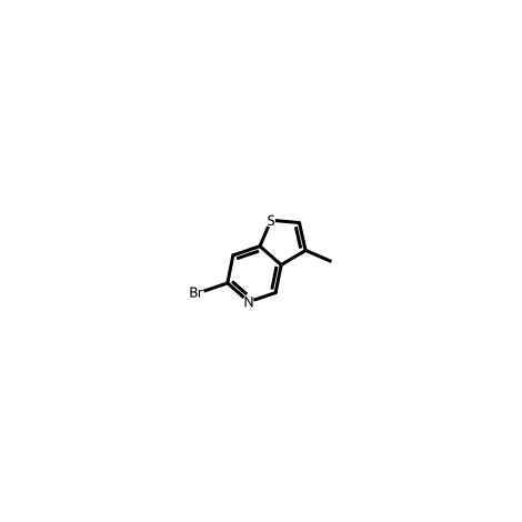 Cc1csc2cc(Br)ncc12